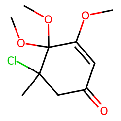 COC1=CC(=O)CC(C)(Cl)C1(OC)OC